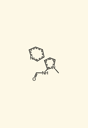 Cn1cccc1NC=O.c1ccncc1